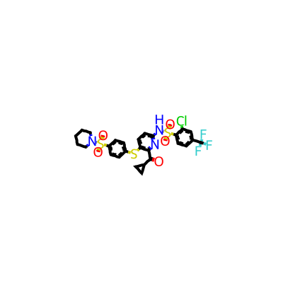 O=C(c1nc(NS(=O)(=O)c2ccc(C(F)(F)F)cc2Cl)ccc1Sc1ccc(S(=O)(=O)N2CCCCC2)cc1)C1CC1